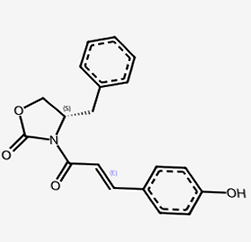 O=C(/C=C/c1ccc(O)cc1)N1C(=O)OC[C@@H]1Cc1ccccc1